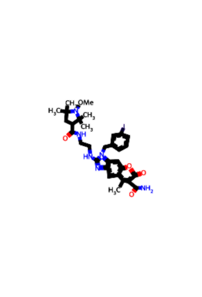 CON1C(C)(C)CC(C(=O)NCCNc2nc3cc4c(C)c(C(N)=O)c(=O)oc4cc3n2Cc2cccc(I)c2)C1(C)C